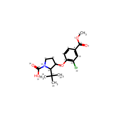 COC(=O)c1ccc(OC2CCN(C(=O)O)C2C(C)(C)C)c(Br)c1